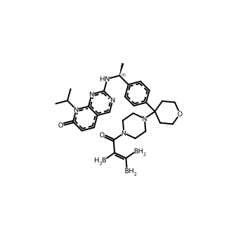 BC(B)=C(B)C(=O)N1CCN(C2(c3ccc([C@H](C)Nc4ncc5ccc(=O)n(C(C)C)c5n4)cc3)CCOCC2)CC1